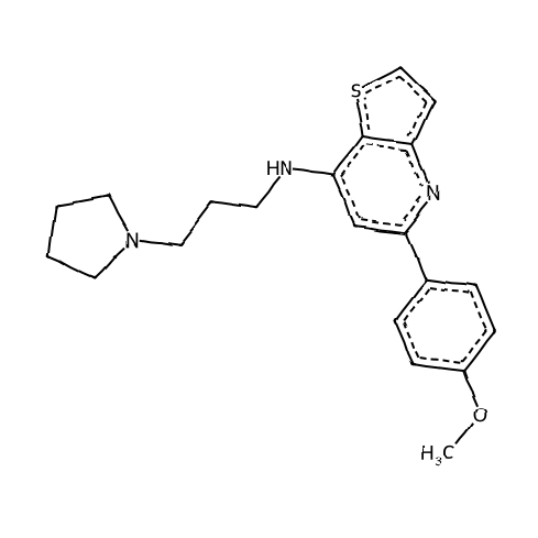 COc1ccc(-c2cc(NCCCN3CCCC3)c3sccc3n2)cc1